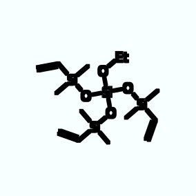 C=C[Si](C)(C)O[Si](OCC)(O[Si](C)(C)C=C)O[Si](C)(C)C=C